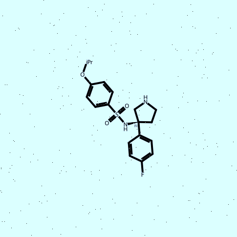 CC(C)Oc1ccc(S(=O)(=O)N[C@]2(c3ccc(F)cc3)CCNC2)cc1